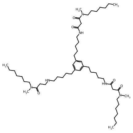 CCCCCCCN(C)C(=O)CCNCCCCCc1cc(CCCCCNC(=O)CC(=O)N(C)CCCCCCC)cc(CCCCCNC(=O)CC(=O)N(C)CCCCCCC)c1